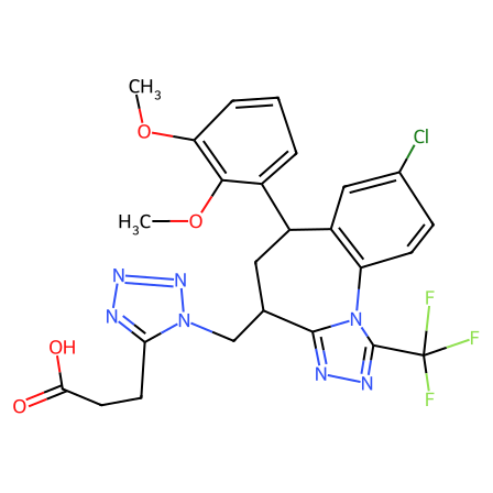 COc1cccc(C2CC(Cn3nnnc3CCC(=O)O)c3nnc(C(F)(F)F)n3-c3ccc(Cl)cc32)c1OC